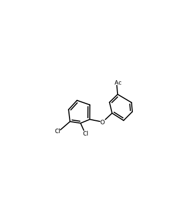 CC(=O)c1cccc(Oc2cccc(Cl)c2Cl)c1